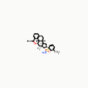 C=C(O)c1cccc2c1[C@H]1CC[C@]3(C)C[C@H](C4(S(N)(=O)=O)C=CC=C(C(=O)O)C4)C[C@H]3[C@@H]1CC2